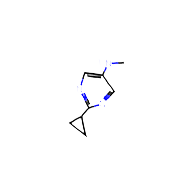 CNc1cnc(C2CC2)nc1